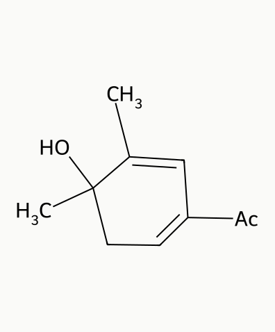 CC(=O)C1=CCC(C)(O)C(C)=C1